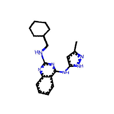 Cc1cc(Nc2nc(NCC3CCCCC3)nc3ccccc23)[nH]n1